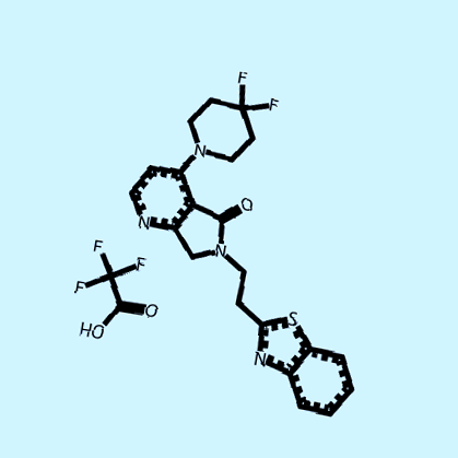 O=C(O)C(F)(F)F.O=C1c2c(N3CCC(F)(F)CC3)ccnc2CN1CCc1nc2ccccc2s1